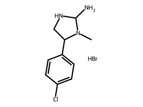 Br.CN1C(N)NCC1c1ccc(Cl)cc1